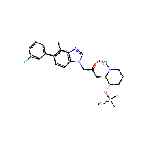 Cc1c(-c2cccc(F)c2)ccc2c1ncn2CC(=O)C[C@@H]1[C@@H](O[Si](C)(C)C(C)(C)C)CCCN1C(=O)O